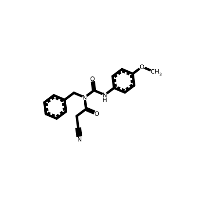 COc1ccc(NC(=O)N(Cc2ccccc2)C(=O)CC#N)cc1